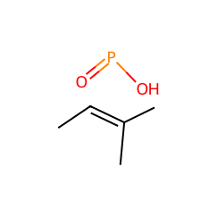 CC=C(C)C.O=PO